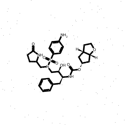 Nc1ccc(S(=O)(=O)N(CC2CCC(=O)N2)C[C@@H](O)[C@H](Cc2ccccc2)NC(=O)O[C@@H]2C[C@@H]3CCO[C@@H]3C2)cc1